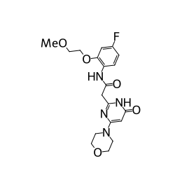 COCCOc1cc(F)ccc1NC(=O)Cc1nc(N2CCOCC2)cc(=O)[nH]1